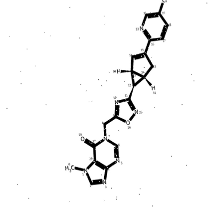 Cn1cnc2ncn(Cc3nc([C@H]4[C@@H]5C=C(c6ccc(Cl)cn6)C[C@@H]54)no3)c(=O)c21